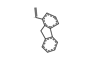 C=[C]c1cccc2c1Cc1ccccc1-2